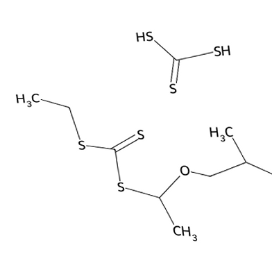 CCSC(=S)SC(C)OCC(C)C.S=C(S)S